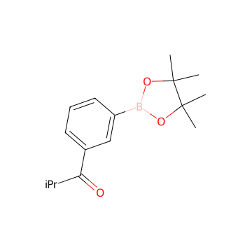 CC(C)C(=O)c1cccc(B2OC(C)(C)C(C)(C)O2)c1